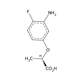 C[C@@H](Oc1ccc(F)c(N)c1)C(=O)O